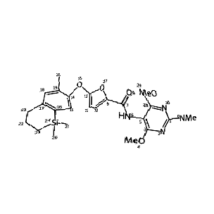 CNc1nc(OC)c(NC(=O)c2ccc(Oc3cc4c(cc3C)CCC[Si]4(C)C)o2)c(OC)n1